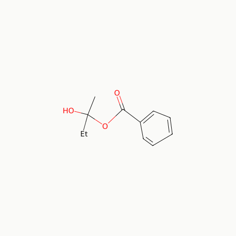 CCC(C)(O)OC(=O)c1ccccc1